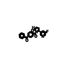 O=C(c1ccccc1)N1CCC2(CC1)O[C@@H]1CC[C@@H](c3cncc(F)c3)N1C2=O